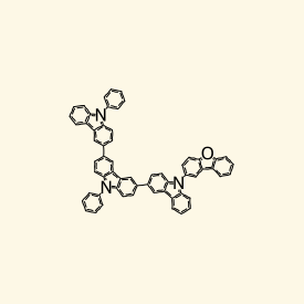 c1ccc(-n2c3ccccc3c3cc(-c4ccc5c(c4)c4cc(-c6ccc7c(c6)c6ccccc6n7-c6ccc7oc8ccccc8c7c6)ccc4n5-c4ccccc4)ccc32)cc1